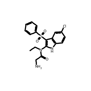 CCN(C(=O)CN)c1[nH]c2ccc(Cl)cc2c1S(=O)(=O)c1ccccc1